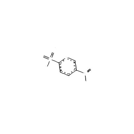 O=[N+]([O-])c1ccc(S(=O)(=O)Cl)nc1